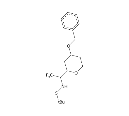 CC(C)(C)SNC(C1CC(OCc2ccccc2)CCO1)C(F)(F)F